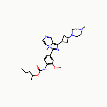 CCCC(C)OC(=O)Nc1ccc(C2=NC(C3CC(N4CCN(C)CC4)C3)=C3C=NC=C[N+]23C)cc1OC